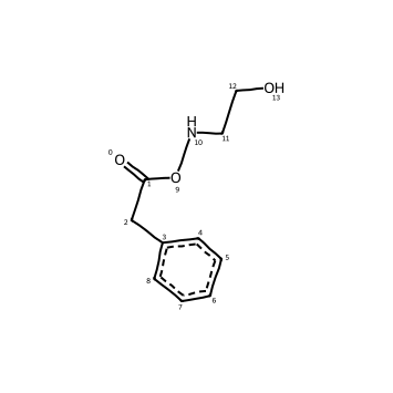 O=C(Cc1ccccc1)ONCCO